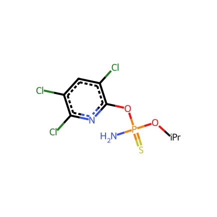 CC(C)OP(N)(=S)Oc1nc(Cl)c(Cl)cc1Cl